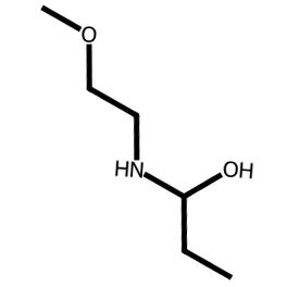 CCC(O)NCCOC